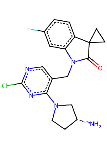 N[C@@H]1CCN(c2nc(Cl)ncc2CN2C(=O)C3(CC3)c3ccc(F)cc32)C1